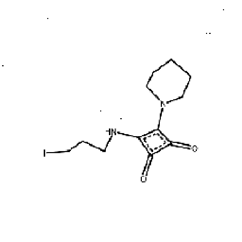 O=c1c(NCCCI)c(N2CCCCC2)c1=O